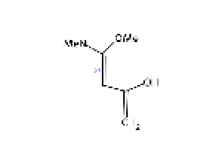 C=C(O)/C=C(/NC)OC